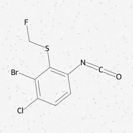 O=C=Nc1ccc(Cl)c(Br)c1SCF